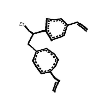 C=Cc1ccc(CC(CC)c2ccc(C=C)cc2)cc1